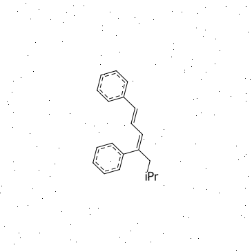 CC(C)CC(=CC=Cc1ccccc1)c1ccccc1